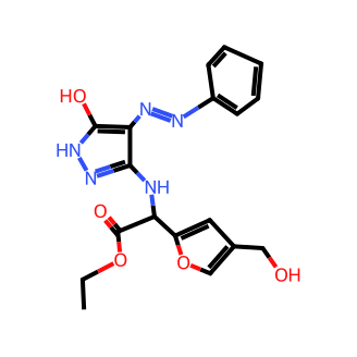 CCOC(=O)C(Nc1n[nH]c(O)c1/N=N/c1ccccc1)c1cc(CO)co1